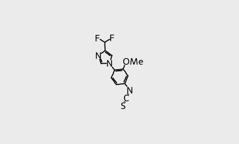 COc1cc(N=C=S)ccc1-n1cnc(C(F)F)c1